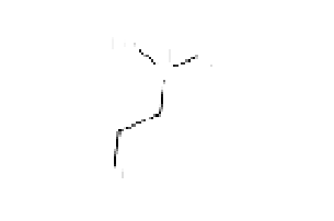 CCCC[SiH](O)O